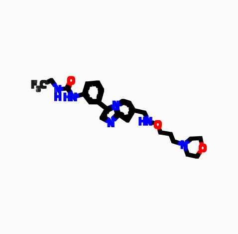 O=C(NCC(F)(F)F)Nc1cccc(-c2cnc3cc(CNOCCCN4CCOCC4)ccn23)c1